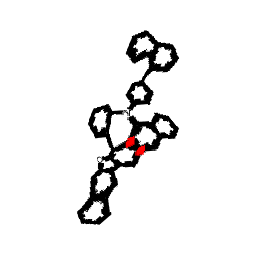 c1ccc(N(c2ccc(-c3cccc4ccccc34)cc2)c2cccc3ccccc23)c(-c2cccc3c2oc2cc4ccccc4cc23)c1